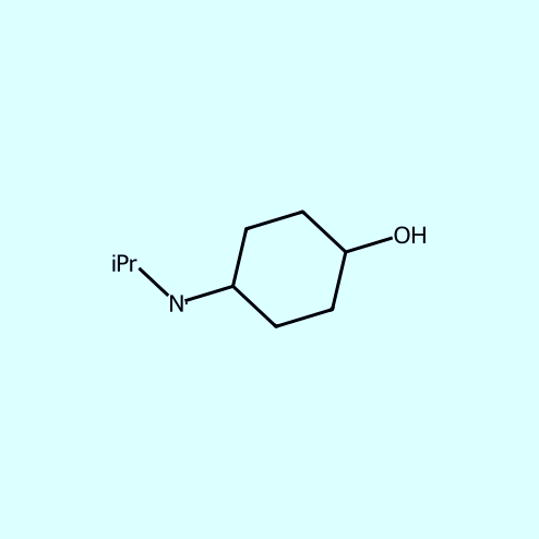 CC(C)[N]C1CCC(O)CC1